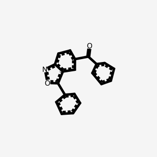 O=C(c1ccccc1)c1ccc2noc(-c3ccccc3)c2c1